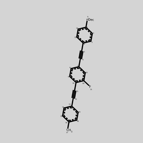 CCCCCCCCCCc1ccc(C#Cc2ccc(C#Cc3ccc(C)cc3)c(F)c2)cc1